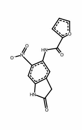 O=C1Cc2cc(NC(=O)c3ccco3)c([N+](=O)[O-])cc2N1